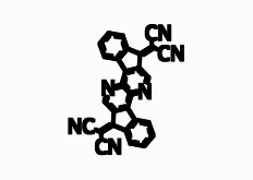 N#CC(C#N)=C1c2ccccc2-c2c1cnc1c3c(cnc21)C(=C(C#N)C#N)c1ccccc1-3